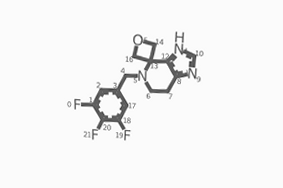 Fc1cc(CN2CCc3nc[nH]c3C23COC3)cc(F)c1F